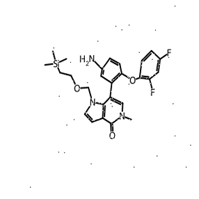 Cn1cc(-c2cc(N)ccc2Oc2ccc(F)cc2F)c2c(ccn2COCC[Si](C)(C)C)c1=O